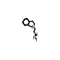 IN=NCCN1CCc2ccccc2C1